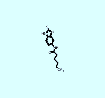 CCCCCC(=O)Nc1ccc2[nH]c([S])nc2c1